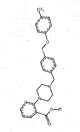 Cc1ccc(OCc2ccc(CN3CCN(c4ncccc4C(=O)OC(C)C)CC3)cc2)cc1